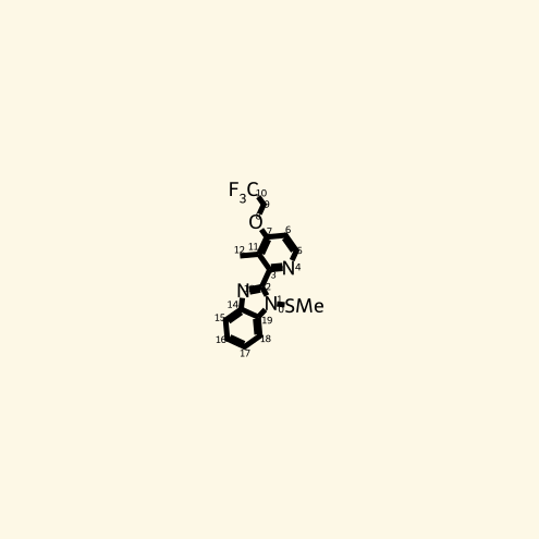 CSn1c(-c2nccc(OCC(F)(F)F)c2C)nc2ccccc21